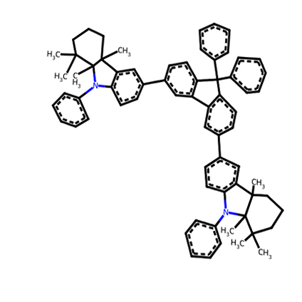 CC1(C)CCCC2(C)c3cc(-c4ccc5c(c4)-c4cc(-c6ccc7c(c6)C6(C)CCCC(C)(C)C6(C)N7c6ccccc6)ccc4C5(c4ccccc4)c4ccccc4)ccc3N(c3ccccc3)C12C